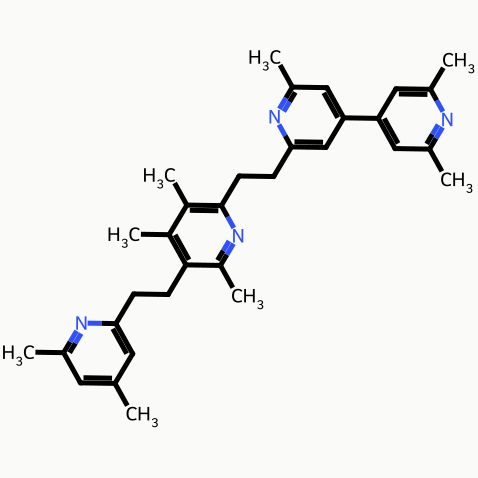 Cc1cc(C)nc(CCc2c(C)nc(CCc3cc(-c4cc(C)nc(C)c4)cc(C)n3)c(C)c2C)c1